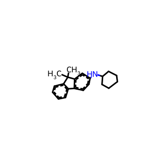 CC1(C)c2ccccc2-c2ccc(NC3CCCCC3)cc21